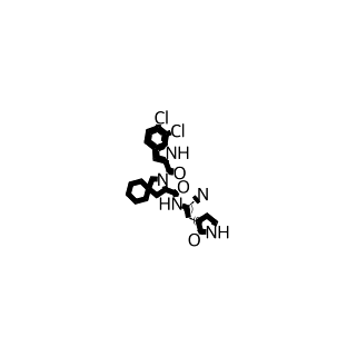 N#C[C@H](C[C@@H]1CCNC1=O)NC(=O)C1CC2(CCCCC2)CN1C(=O)c1cc2ccc(Cl)c(Cl)c2[nH]1